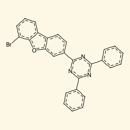 Brc1cccc2c1oc1cc(-c3nc(-c4ccccc4)nc(-c4ccccc4)n3)ccc12